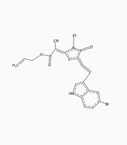 C=CCOC(=O)/C(C#N)=c1\sc(=C=Cc2c[nH]c3ccc(Br)cc23)c(=O)n1CC